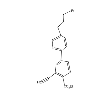 C#Cc1cc(-c2ccc(CCCC(C)C)cc2)ccc1C(=O)OCC